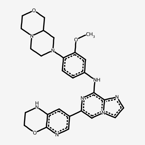 COc1cc(Nc2nc(-c3cnc4c(c3)NCCO4)cn3ccnc23)ccc1N1CCN2CCOCC2C1